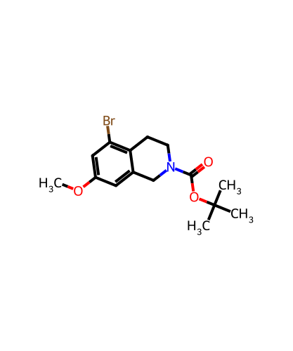 COc1cc(Br)c2c(c1)CN(C(=O)OC(C)(C)C)CC2